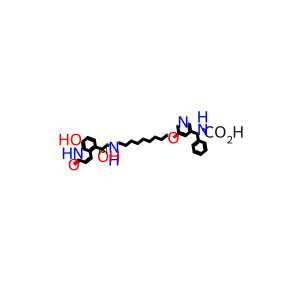 O=C(O)NC(c1ccccc1)c1cncc(OCCCCCCCCCNC[C@@H](O)c2ccc(O)c3[nH]c(=O)ccc23)c1